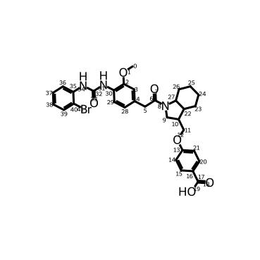 COc1cc(CC(=O)N2CC(COc3ccc(C(=O)O)cc3)C3CCCCC32)ccc1NC(=O)Nc1ccccc1Br